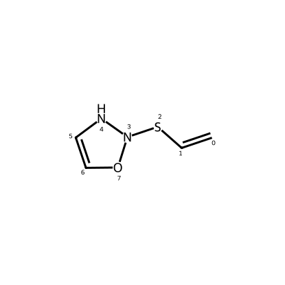 C=CSN1NC=CO1